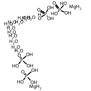 O.O.O.O.O.O.O.O.O.O.O.O.O=P(O)(O)O.O=P(O)(O)O.O=P(O)(O)O.O=P(O)(O)O.[MgH2].[MgH2]